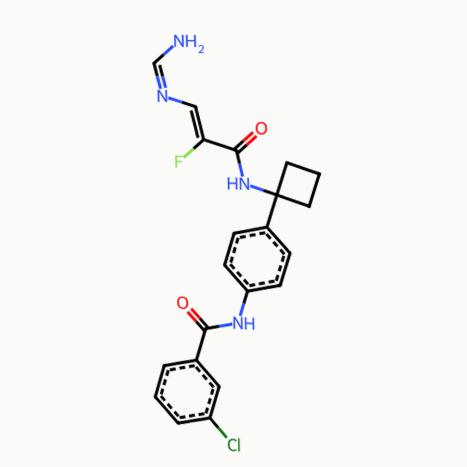 N/C=N\C=C(/F)C(=O)NC1(c2ccc(NC(=O)c3cccc(Cl)c3)cc2)CCC1